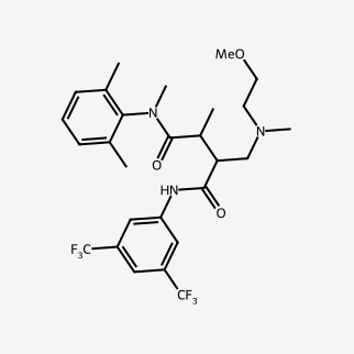 COCCN(C)CC(C(=O)Nc1cc(C(F)(F)F)cc(C(F)(F)F)c1)C(C)C(=O)N(C)c1c(C)cccc1C